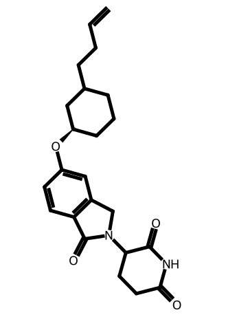 C=CCCC1CCC[C@@H](Oc2ccc3c(c2)CN(C2CCC(=O)NC2=O)C3=O)C1